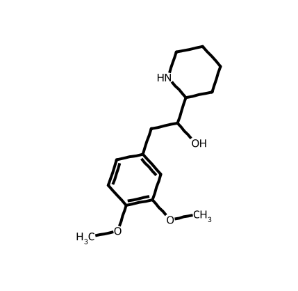 COc1ccc(CC(O)C2CCCCN2)cc1OC